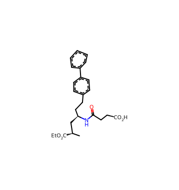 CCOC(=O)[C@H](C)C[C@@H](CCc1ccc(-c2ccccc2)cc1)NC(=O)CCC(=O)O